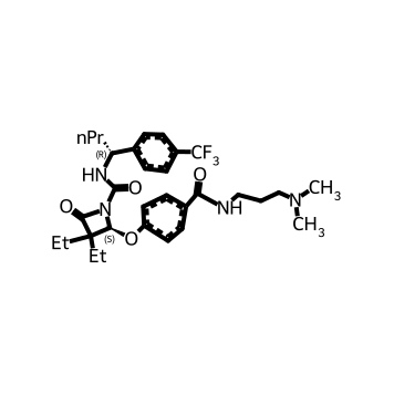 CCC[C@@H](NC(=O)N1C(=O)C(CC)(CC)[C@@H]1Oc1ccc(C(=O)NCCCN(C)C)cc1)c1ccc(C(F)(F)F)cc1